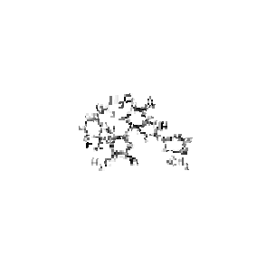 Cc1cc(-c2cc3c(-c4cc(=O)n(C)cc4Oc4c(C)cccc4C)cn(C)c(=O)c3[nH]2)ncn1